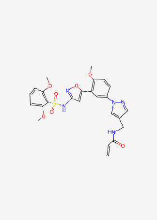 C=CC(=O)NCc1cnn(-c2ccc(OC)c(-c3cc(NS(=O)(=O)c4c(OC)cccc4OC)no3)c2)c1